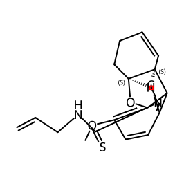 C=CCNC(=S)N1CC[C@@]23C=CCC[C@@H]2Oc2c(OC)ccc(c23)C1